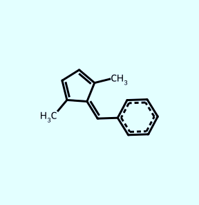 CC1=CC=C(C)C1=Cc1ccccc1